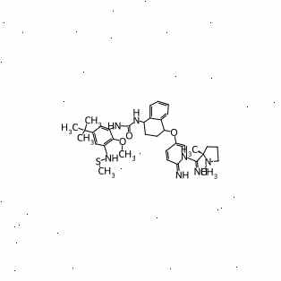 COc1c(NSC)cc(C(C)(C)C)cc1NC(=O)NC1CCC(Oc2ccc(=N)n(C(=N)[C@]3(C)CCCN3C)c2)c2ccccc21